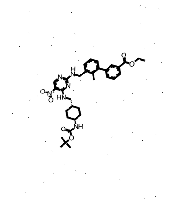 CCOC(=O)c1cccc(-c2cccc(CNc3ncc([N+](=O)[O-])c(NC[C@H]4CC[C@H](NC(=O)OC(C)(C)C)CC4)n3)c2C)c1